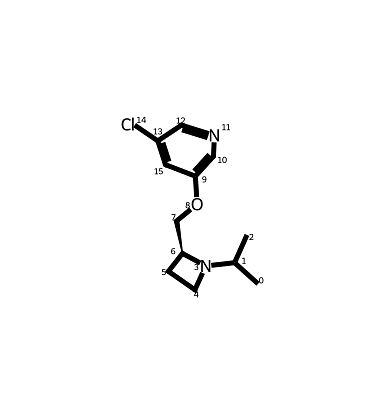 CC(C)N1CC[C@H]1COc1cncc(Cl)c1